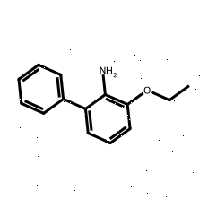 CCOc1cccc(-c2ccccc2)c1N